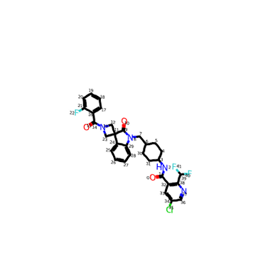 O=C(NC1CCC(CN2C(=O)C3(CN(C(=O)c4ccccc4F)C3)c3ccccc32)CC1)c1cc(Cl)cnc1C(F)F